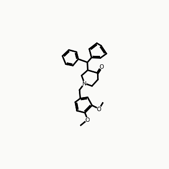 COc1ccc(CN2CCC(=O)C(C(c3ccccc3)c3ccccc3)C2)cc1OC